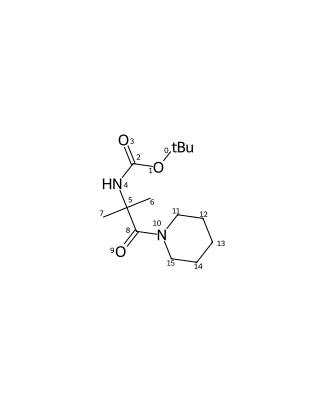 CC(C)(C)OC(=O)NC(C)(C)C(=O)N1CCCCC1